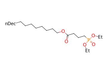 CCCCCCCCCCCCCCCCCCOC(=O)CCCP(=O)(OCC)OCC